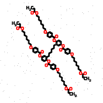 C=CC(=O)OCCCCCCCCOc1ccc(C(=O)Oc2ccc(OC(=O)c3ccc(OCCCCCCCCOC(=O)C=C)cc3)c(CCCCCCc3cc(OC(=O)c4ccc(OCCCCCCCCOC(=O)C=C)cc4)ccc3OC(=O)c3ccc(OCCCCCCCCOC(=O)C=C)cc3)c2)cc1